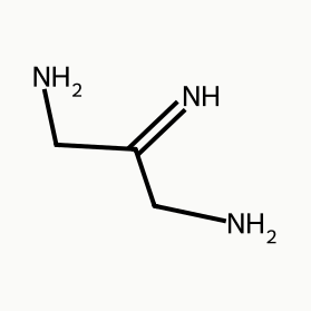 N=C(CN)CN